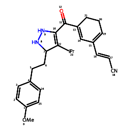 COc1ccc(CCC2NNC(C(=O)C3=CC(/C=C/C#N)=CCC3)=C2C(C)C)cc1